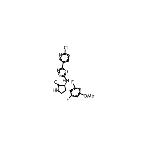 COc1cc(F)c([C@@H]2CNC(=O)[C@H]2Nc2nnc(-c3ccc(Cl)nc3)o2)c(F)c1